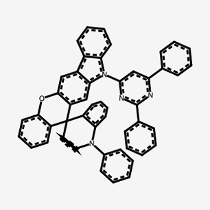 c1ccc(-c2cc(-n3c4ccccc4c4cc5c(cc43)C3(c4ccccc4O5)c4ccccc4N(c4ccccc4)c4ccccc43)nc(-c3ccccc3)n2)cc1